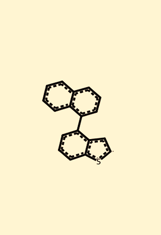 [c]1cc2c(-c3cccc4ccccc34)cccc2s1